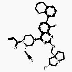 C=CC(=O)N1CCN(c2nc(OC[C@@]34CCCN3C[C@H](F)C4)nc3c(F)c(-c4cccc5c4CCCC5)ccc23)C[C@@H]1CC#N